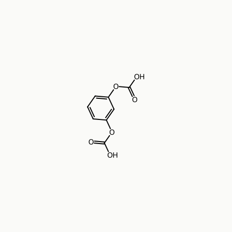 O=C(O)Oc1cccc(OC(=O)O)c1